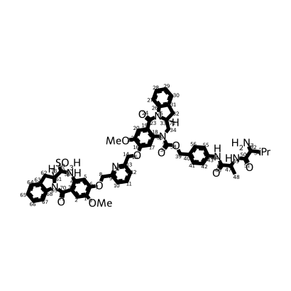 COc1cc2c(cc1OCc1cccc(COc3cc4c(cc3OC)C(=O)N3c5ccccc5C[C@H]3CN4C(=O)OCc3ccc(NC(=O)C(C)NC(=O)C(N)C(C)C)cc3)n1)NC(S(=O)(=O)O)[C@@H]1Cc3ccccc3N1C2=O